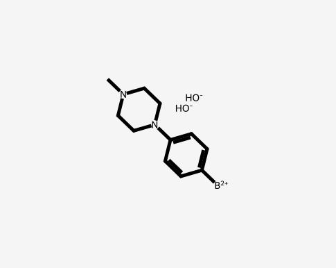 [B+2]c1ccc(N2CCN(C)CC2)cc1.[OH-].[OH-]